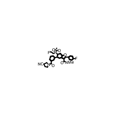 CNC(=O)c1c(-c2ccc(F)cc2)oc2cc(N(CCF)S(C)(=O)=O)c(-c3cccc(C(=O)N4CCC(C#N)C4)c3)cc12